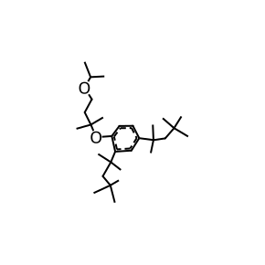 CC(C)OCCC(C)(C)Oc1ccc(C(C)(C)CC(C)(C)C)cc1C(C)(C)CC(C)(C)C